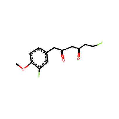 COc1ccc(CC(=O)CC(=O)CCF)cc1F